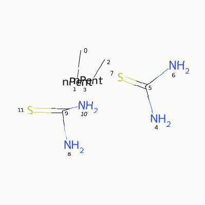 CCCCCC.CCCCCC.NC(N)=S.NC(N)=S